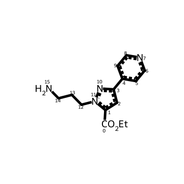 CCOC(=O)c1cc(-c2ccncc2)nn1CCCN